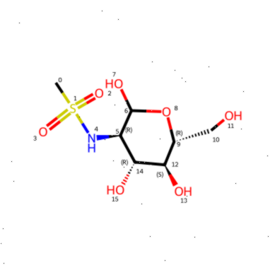 CS(=O)(=O)N[C@H]1C(O)O[C@H](CO)[C@@H](O)[C@@H]1O